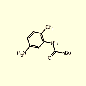 CCCCC(=O)Nc1cc(N)ccc1C(F)(F)F